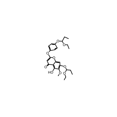 CCOC(CC)Oc1ccc(Oc2cc(=O)c3c(O)c(OC)c(OC(CC)OCC)cc3o2)cc1